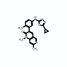 Cc1cc2c(cn1)cc(-c1cc(Nc3nnc(C4CC4)o3)ccc1C)c(=O)n2C